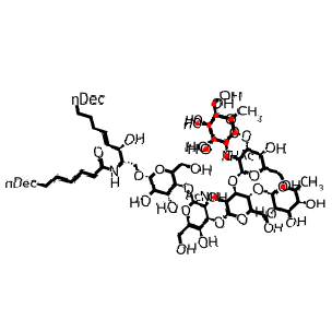 CCCCCCCCCCCCC/C=C/[C@@H](O)[C@H](CO[C@@H]1OC(CO)[C@@H](O[C@@H]2OC(CO)[C@H](O)[C@H](O[C@@H]3OC(CO)[C@@H](O[C@H]4OC(C)[C@@H](O)C(O)[C@@H]4O)[C@H](O[C@@H]4OC(CO)[C@H](O)[C@H](O[C@H]5OC(CO)[C@H](O)[C@H](O)C5NC(C)=O)C4O[C@H]4OC(C)[C@@H](O)C(O)[C@@H]4O)C3NC(C)=O)C2O)[C@H](O)C1O)NC(=O)CCCCCCCCCCCCCCC